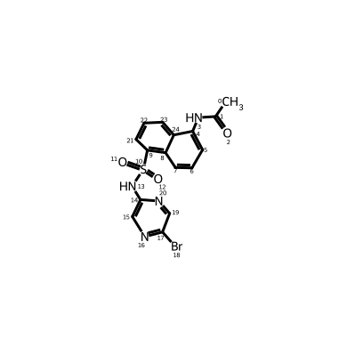 CC(=O)Nc1cccc2c(S(=O)(=O)Nc3cnc(Br)cn3)cccc12